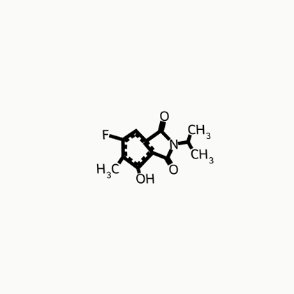 Cc1c(F)cc2c(c1O)C(=O)N(C(C)C)C2=O